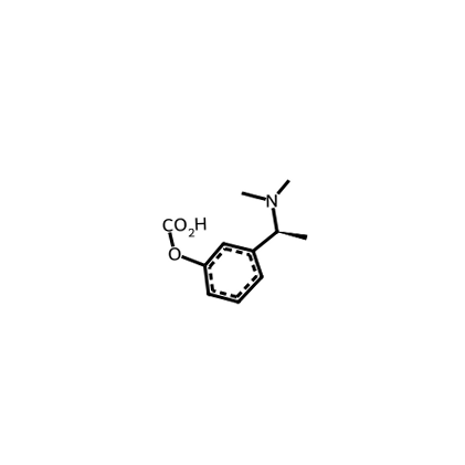 C[C@@H](c1cccc(OC(=O)O)c1)N(C)C